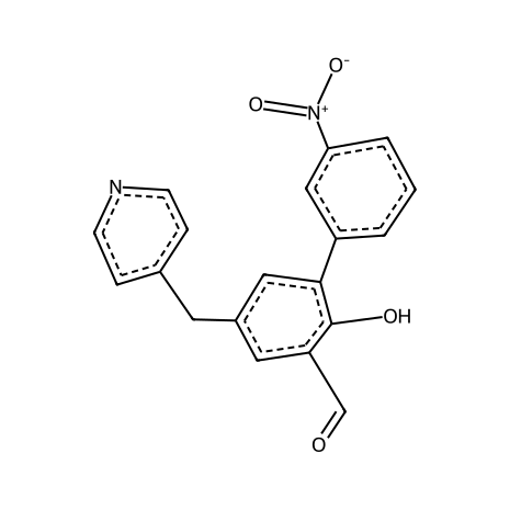 O=Cc1cc(Cc2ccncc2)cc(-c2cccc([N+](=O)[O-])c2)c1O